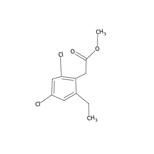 CCc1cc(Cl)cc(Cl)c1CC(=O)OC